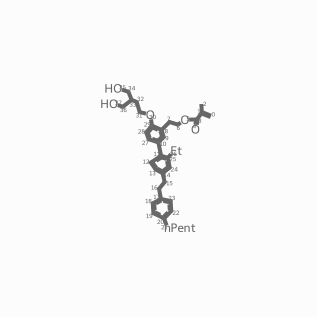 C=C(C)C(=O)OCCc1cc(-c2ccc(CCc3ccc(CCCCC)cc3)cc2CC)ccc1OCCC(CO)CO